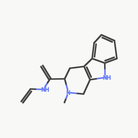 C=CNC(=C)C1Cc2c([nH]c3ccccc23)CN1C